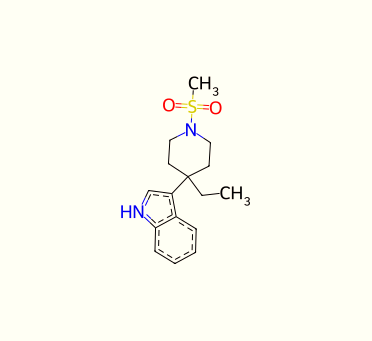 CCC1(c2c[nH]c3ccccc23)CCN(S(C)(=O)=O)CC1